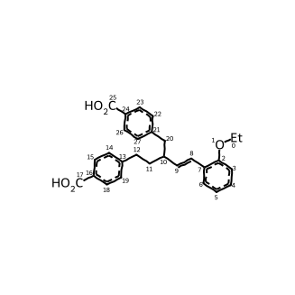 CCOc1ccccc1C=CC(CCc1ccc(C(=O)O)cc1)Cc1ccc(C(=O)O)cc1